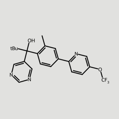 Cc1cc(-c2ccc(OC(F)(F)F)cn2)ccc1C(O)(c1cncnc1)C(C)(C)C